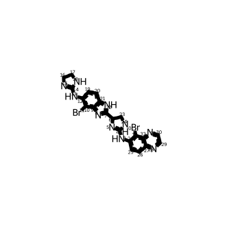 Brc1c(NC2=NC(c3nc4c(Br)c(NC5=NCCN5)ccc4[nH]3)CN2)ccc2nccnc12